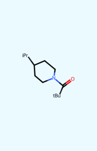 CC(C)C1CCN(C(=O)C(C)(C)C)CC1